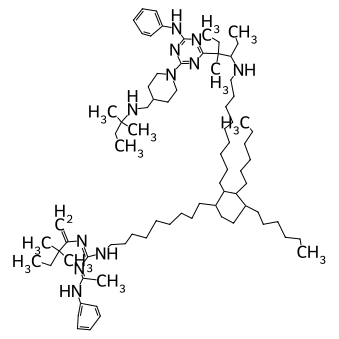 C=C(/N=C(\N=C(/C)Nc1ccccc1)NCCCCCCCCCC1CCC(CCCCCC)C(CCCCCC)C1CCCCCCCCCNC(CC)C(C)(CC)c1nc(Nc2ccccc2)nc(N2CCC(CNC(C)(C)CC)CC2)n1)C(C)(C)CC